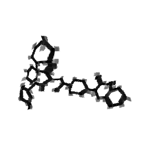 O=C(CC(NCc1c[nH]cn1)C(=O)[N+]1(C2CCNCC2)CCCCC1)N1CCC(N2Cc3ccccc3NC2=O)CC1